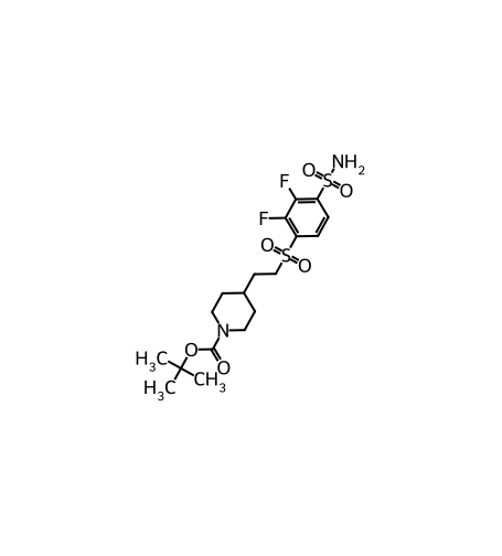 CC(C)(C)OC(=O)N1CCC(CCS(=O)(=O)c2ccc(S(N)(=O)=O)c(F)c2F)CC1